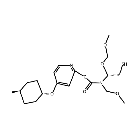 COCO[C@H](CS)N(COC)C(=O)Cc1cc(O[C@H]2CC[C@H](C)CC2)ccn1